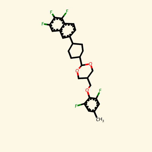 Cc1cc(F)c(OCC2COC(C3CCC(c4ccc5c(F)c(F)c(F)cc5c4)CC3)OC2)c(F)c1